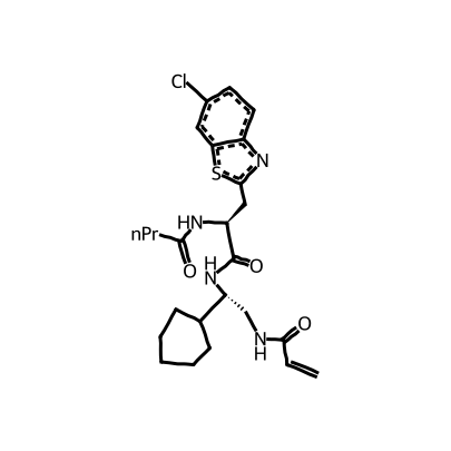 C=CC(=O)NC[C@@H](NC(=O)[C@H](Cc1nc2ccc(Cl)cc2s1)NC(=O)CCC)C1CCCCC1